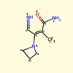 N=C/C(=C(\C(N)=O)C(F)(F)F)N1CCC1